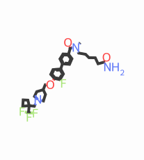 CN(CCCCCC(N)=O)C(=O)c1ccc(-c2ccc(OCC3CCN(CC4(C(F)(F)F)CCC4)CC3)c(F)c2)cc1